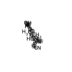 Cc1c(COc2cc(OCc3cccc(C#N)c3)c(CN3CCCC[C@H]3C(=O)O)cc2Cl)cccc1-c1cccc(OCCCN2[C@@H]3CC[C@H]2COC3)c1C